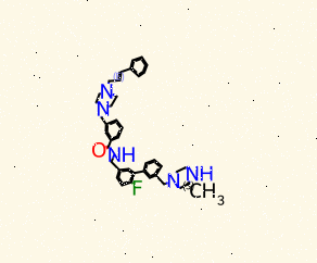 C[C@H]1CN(Cc2cccc(-c3cc(CNC(=O)c4cccc(CN5CCN(C/C=C/c6ccccc6)CC5)c4)ccc3F)c2)CCN1